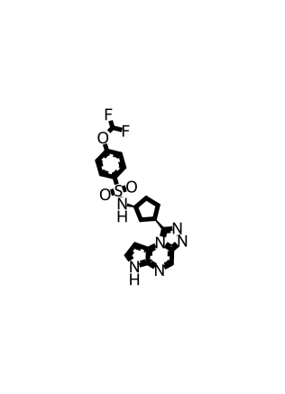 O=S(=O)(N[C@H]1CC[C@@H](c2nnc3cnc4[nH]ccc4n23)C1)c1ccc(OC(F)F)cc1